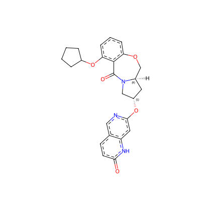 O=C1c2c(cccc2OC2CCCC2)OC[C@H]2C[C@H](Oc3cc4[nH]c(=O)ccc4cn3)CN12